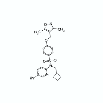 Cc1noc(C)c1COc1ccc(S(=O)(=O)N(CC2CCC2)c2ccc(C(C)C)cn2)cc1